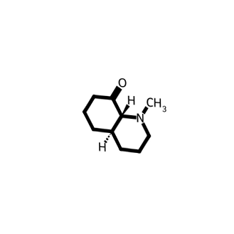 CN1CCC[C@H]2CCCC(=O)[C@@H]21